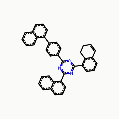 C1=Cc2cccc(-c3nc(-c4ccc(-c5cccc6ccccc56)cc4)nc(-c4cccc5ccccc45)n3)c2CC1